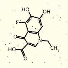 CCn1cc(C(=O)O)c(=O)c2c(F)c(O)c(O)cc21